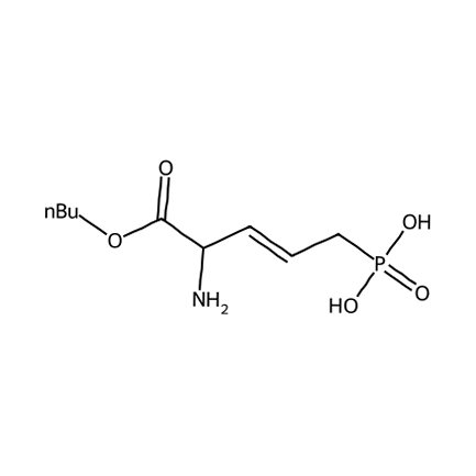 CCCCOC(=O)C(N)/C=C/CP(=O)(O)O